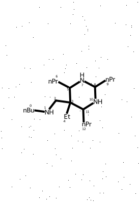 CCCCNCC1(CC)C(CCC)NC(CCC)NC1CCC